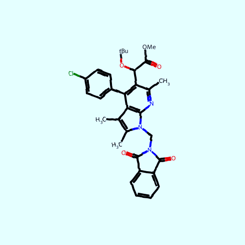 COC(=O)C(OC(C)(C)C)c1c(C)nc2c(c(C)c(C)n2CN2C(=O)c3ccccc3C2=O)c1-c1ccc(Cl)cc1